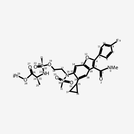 CNC(=O)c1c(-c2ccc(F)cc2)oc2cc(N(CCO[P@@](C)(=O)N[C@@H](C)C(=O)OC(C)C)S(C)(=O)=O)c(C3CC3)cc12